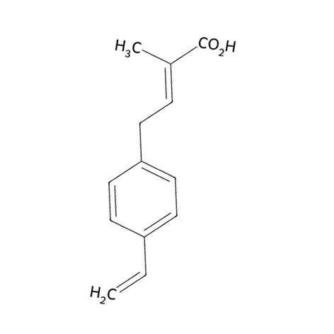 C=Cc1ccc(CC=C(C)C(=O)O)cc1